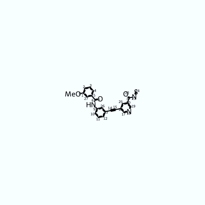 COc1cccc(C(=O)Nc2cccc(C#Cc3cncc(C(=O)N=S)c3)c2)c1